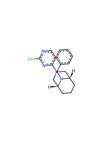 Clc1nccc(N2C[C@H]3CCC[C@@H](C2)N3Cc2ccccc2)n1